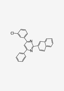 Clc1cccc(-c2cc(-c3ccccc3)nc(-c3ccc4ccccc4c3)n2)c1